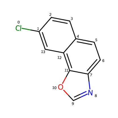 Clc1ccc2ccc3ncoc3c2c1